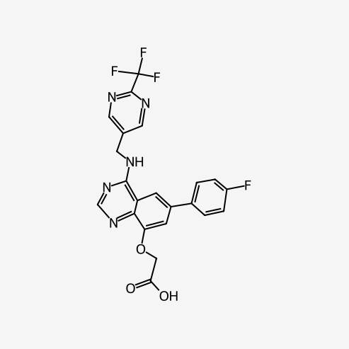 O=C(O)COc1cc(-c2ccc(F)cc2)cc2c(NCc3cnc(C(F)(F)F)nc3)ncnc12